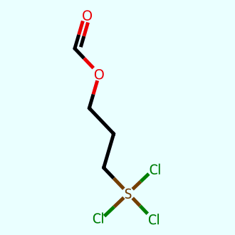 O=COCCCS(Cl)(Cl)Cl